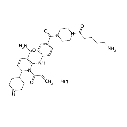 C=CC(=O)N1C(Nc2ccc(C(=O)N3CCN(C(=O)CCCCN)CC3)cc2)=C(C(N)=O)C=CC1C1CCNCC1.Cl